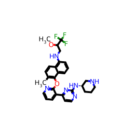 COC(CNc1cccc2c(Oc3ncccc3-c3ccnc(N[C@H]4CCCNC4)n3)c(C)ccc12)C(F)(F)F